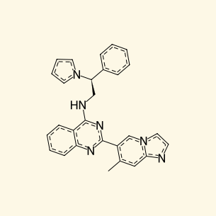 Cc1cc2nccn2cc1-c1nc(NC[C@H](c2ccccc2)n2cccc2)c2ccccc2n1